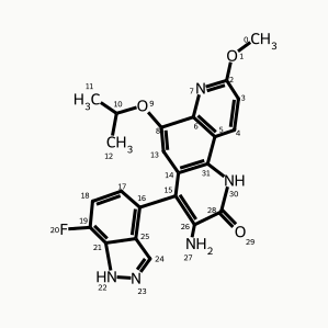 COc1ccc2c(n1)c(OC(C)C)cc1c(-c3ccc(F)c4[nH]ncc34)c(N)c(=O)[nH]c12